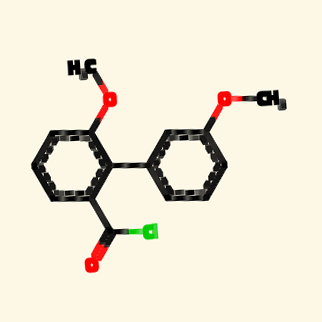 COc1cccc(-c2c(OC)cccc2C(=O)Cl)c1